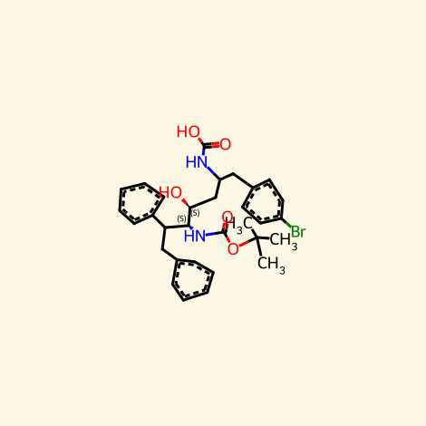 CC(C)(C)OC(=O)N[C@@H](C(Cc1ccccc1)c1ccccc1)[C@@H](O)CC(Cc1ccc(Br)cc1)NC(=O)O